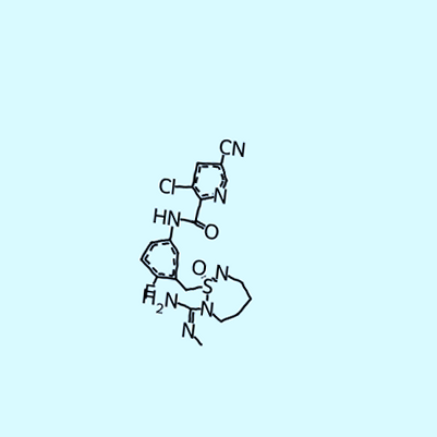 C/N=C(/N)N1CCCCN=S1(=O)Cc1cc(NC(=O)c2ncc(C#N)cc2Cl)ccc1F